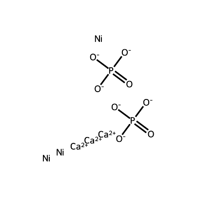 O=P([O-])([O-])[O-].O=P([O-])([O-])[O-].[Ca+2].[Ca+2].[Ca+2].[Ni].[Ni].[Ni]